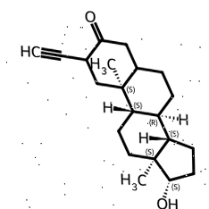 C#CC1C[C@@]2(C)C(CC[C@H]3[C@@H]4CC[C@H](O)[C@@]4(C)CC[C@@H]32)CC1=O